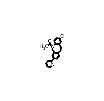 CC(=O)N1Cc2cc(-c3ccccn3)ccc2CCc2cc(Cl)ccc21